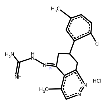 Cc1ccc(Cl)c(C2C/C(=N\NC(=N)N)c3c(C)cnnc3C2)c1.Cl